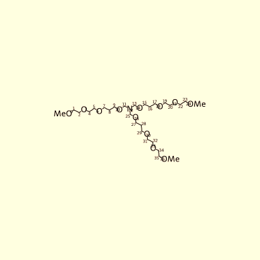 COCCOCCOCCCOCN(COCCCOCCOCCOC)COCCCOCCOCCOC